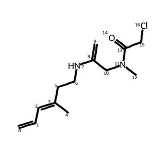 C=C/C=C(\C)CCNC(=C)CN(C)C(=O)CCl